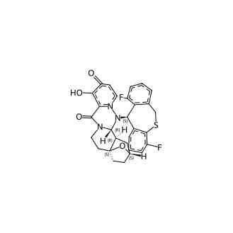 O=C1c2c(O)c(=O)ccn2N([C@@H]2c3cccc(F)c3SCc3cccc(F)c32)[C@@H]2[C@H]3C[C@@H]4CC[C@@]3(CCN12)O4